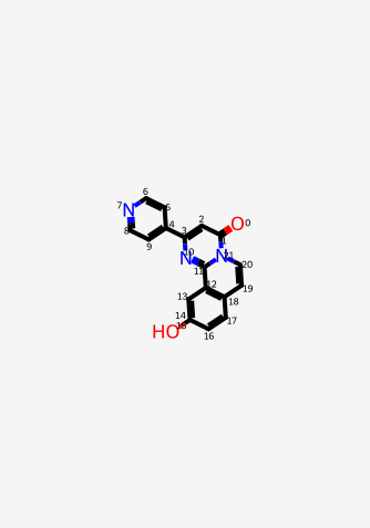 O=c1cc(-c2ccncc2)nc2c3cc(O)ccc3ccn12